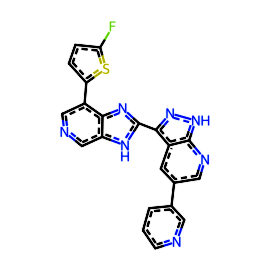 Fc1ccc(-c2cncc3[nH]c(-c4n[nH]c5ncc(-c6cccnc6)cc45)nc23)s1